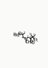 CCC(C)OC(C)CN(C=O)CC(=O)C(C)(C)CC